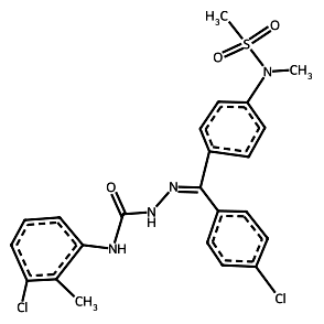 Cc1c(Cl)cccc1NC(=O)NN=C(c1ccc(Cl)cc1)c1ccc(N(C)S(C)(=O)=O)cc1